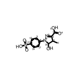 CC1C(C(=O)O)=NN(c2ccc(S(=O)(=O)O)cc2)C1O